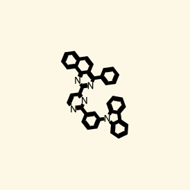 c1ccc(-c2nc(-c3ccnc(-c4cccc(-n5c6ccccc6c6ccccc65)c4)n3)nc3c2ccc2ccccc23)cc1